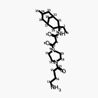 CCC1(NC(=O)CC(=O)N2CCN(C(=O)CCCN)CC2)CC2CC(C)CC(C2)C1